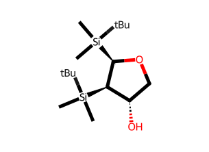 CC(C)(C)[Si](C)(C)[C@@H]1[C@@H](O)CO[C@@H]1[Si](C)(C)C(C)(C)C